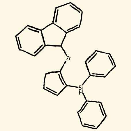 C1=CC([SiH](c2ccccc2)c2ccccc2)=[C]([Zr][CH]2c3ccccc3-c3ccccc32)C1